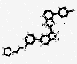 Fc1ccc(-c2ccnc3[nH]c(-c4n[nH]c5cnc(-c6cncc(OCCN7CCCC7)c6)cc45)nc23)cc1